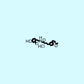 CC(=O)N1CCc2cc(CCCC(=O)CNCCc3ccc(O)cc3Cl)ccc21.Cl